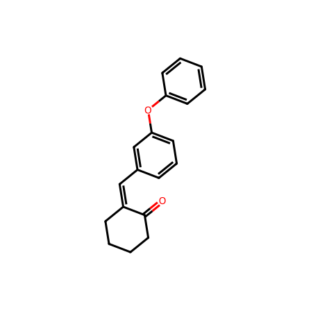 O=C1CCCCC1=Cc1cccc(Oc2ccccc2)c1